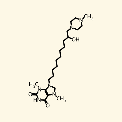 CN1CCN(CC(O)CCCCCCCCCN2CN(C)c3c2n(C)c(=O)[nH]c3=O)CC1